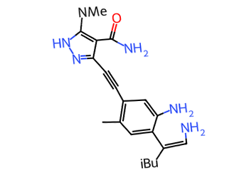 CCC(C)/C(=C/N)c1cc(C)c(C#Cc2n[nH]c(NC)c2C(N)=O)cc1N